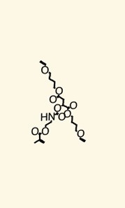 C=COCCCCOC(=O)CC(OC(=O)NCCOC(=O)C(=C)C)C(=O)OCCCCOC=C